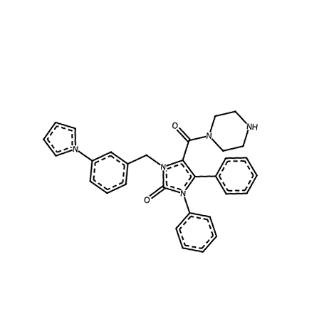 O=C(c1c(-c2ccccc2)n(-c2ccccc2)c(=O)n1Cc1cccc(-n2cccc2)c1)N1CCNCC1